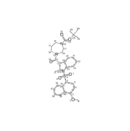 COc1ccc(S(=O)(=O)n2c(C)c(C(=O)N3CCCN(C(=O)OC(C)(C)C)CC3)c3ccccc32)c2ccccc12